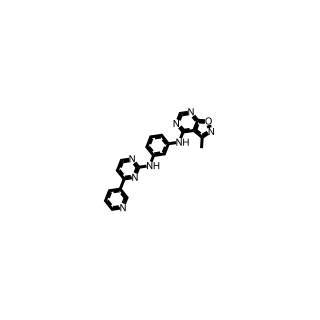 Cc1noc2ncnc(Nc3cccc(Nc4nccc(-c5cccnc5)n4)c3)c12